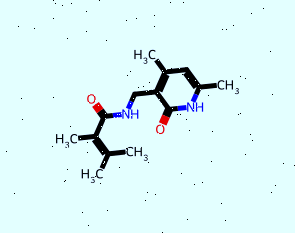 CC(C)=C(C)C(=O)NCc1c(C)cc(C)[nH]c1=O